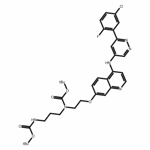 CC(C)(C)OC(=O)NCCCN(CCOc1ccc2c(Nc3cnnc(-c4cc(Cl)ccc4F)c3)ccnc2c1)C(=O)OC(C)(C)C